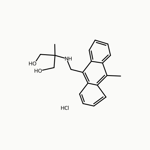 Cc1c2ccccc2c(CNC(C)(CO)CO)c2ccccc12.Cl